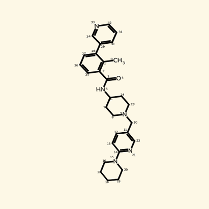 Cc1c(C(=O)NC2CCN(Cc3ccc(N4CCCCC4)nc3)CC2)cccc1-c1cccnc1